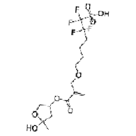 C=C(COCCCCC(F)(F)C(F)(F)S(=O)(=O)O)C(=O)OC1COC(C)(O)C1